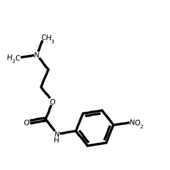 CN(C)CCOC(=O)Nc1ccc([N+](=O)[O-])cc1